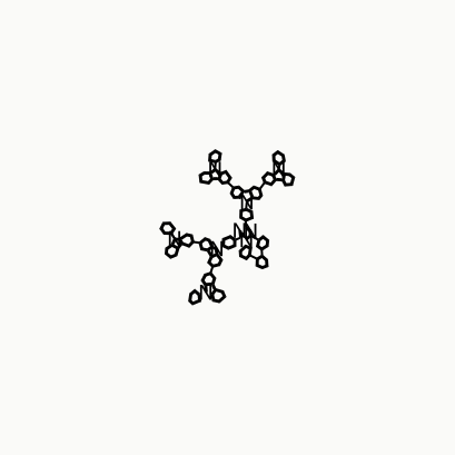 c1ccc(-c2ccccc2-c2cccc(-c3nc(-c4ccc(-n5c6ccc(-c7ccc8c(c7)c7ccccc7n8-c7ccccc7)cc6c6cc(-c7ccc8c(c7)c7ccccc7n8-c7ccccc7)ccc65)cc4)nc(-c4ccc(-n5c6ccc(-c7ccc8c(c7)c7ccccc7n8-c7ccccc7)cc6c6cc(-c7ccc8c(c7)c7ccccc7n8-c7ccccc7)ccc65)cc4)n3)c2)cc1